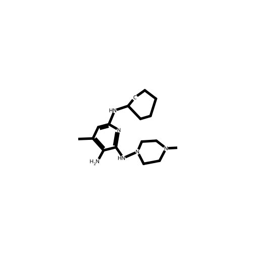 Cc1cc(NC2CCCCC2)nc(NN2CCN(C)CC2)c1N